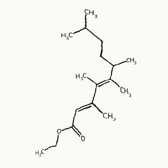 CCOC(=O)/C=C(C)/C(C)=C(\C)C(C)CCC(C)C